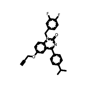 C#CCOc1ccc2c(c1)c(-c1ccc(C(C)C)cc1)nc(=O)n2Cc1ccc(F)c(F)c1